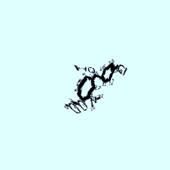 COCOc1ccc(C(O)c2ccc(Cl)cc2)cc1N(C)C